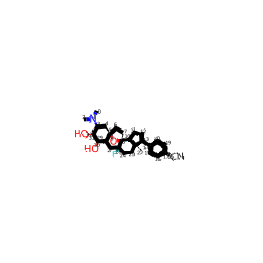 CN(C)[C@H]1C[C@@]23CC[C@]4(O2)C2CC=C(c5ccc(C#N)cc5)[C@@]2(C)CCC4(F)CC3[C@@H](O)[C@@H]1O